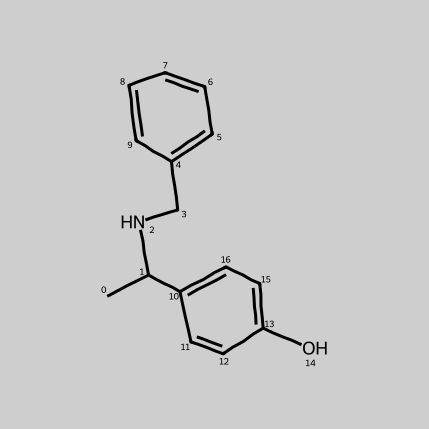 CC(NCc1ccccc1)c1ccc(O)cc1